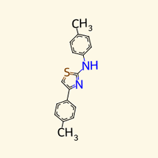 Cc1ccc(Nc2nc(-c3ccc(C)cc3)cs2)cc1